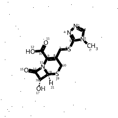 Cn1cnnc1SCC1=C(C(=O)O)N2C(=O)[C@@H](O)[C@@H]2SC1